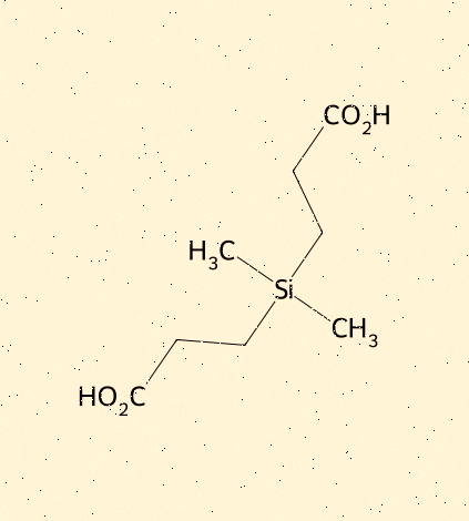 C[Si](C)(CCC(=O)O)CCC(=O)O